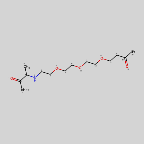 CCCCCCC(=O)C(C)NCCOCCOCCOCCC(=O)C(C)C